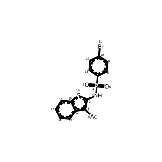 CC(=O)c1c(NS(=O)(=O)c2ccc(Br)cc2)sc2ccccc12